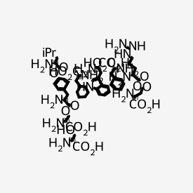 CC(C)C[C@H](N)C(=O)Oc1ccc(C[C@H](N)C(=O)OC[C@@H](N)C(=O)O)cc1.N=C(N)NCCC[C@H](N)C(=O)OC(=O)C[C@H](N)C(=O)O.N[C@@H](CC1CCCCC1)C(=O)O.N[C@@H](CO)C(=O)O.N[C@@H](Cc1c[nH]c2ccccc12)C(=O)O.N[C@@H](Cc1ccccc1)C(=O)O